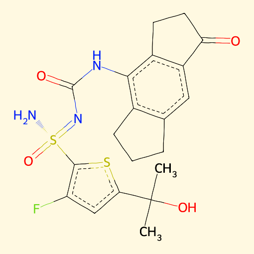 CC(C)(O)c1cc(F)c([S@@](N)(=O)=NC(=O)Nc2c3c(cc4c2CCC4=O)CCC3)s1